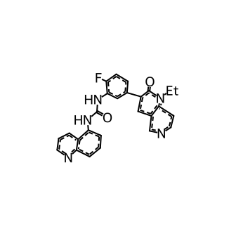 CCn1c(=O)c(-c2ccc(F)c(NC(=O)Nc3cccc4ncccc34)c2)cc2cnccc21